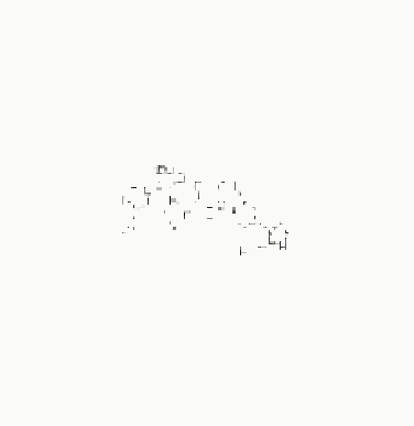 Cc1ncsc1-c1ccc([C@H](C)NC(=O)[C@@H]2C[C@@H](O)CN2C(=O)[C@@H](n2cc(C3CC3)nn2)C(C)(C)C)cc1